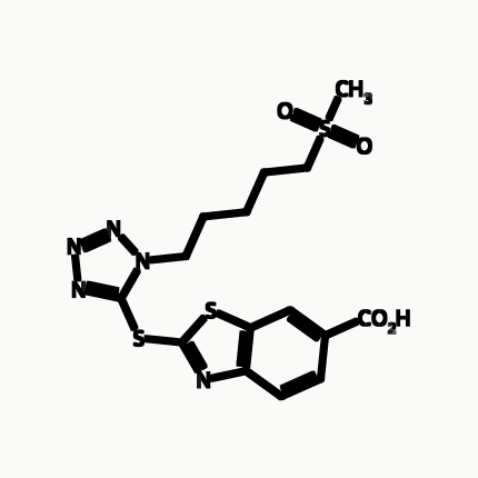 CS(=O)(=O)CCCCCn1nnnc1Sc1nc2ccc(C(=O)O)cc2s1